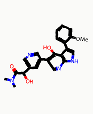 COc1ccccc1-c1c[nH]c2ncc(-c3cncc(C(O)C(=O)N(C)C)c3)c(O)c12